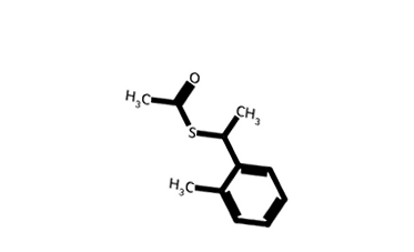 CC(=O)SC(C)c1ccccc1C